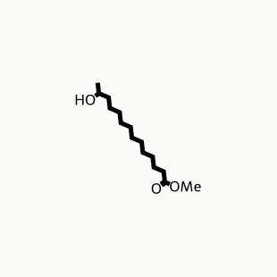 COC(=O)CCCCCCCCCCCC(C)O